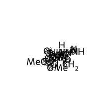 C=CC(=O)N[C@H]1CN(c2cn[nH]c2)C[C@H]1Nc1cc2c(NC3COC3)nc(-c3c(Cl)c(OC)cc(OC)c3Cl)cc2cn1